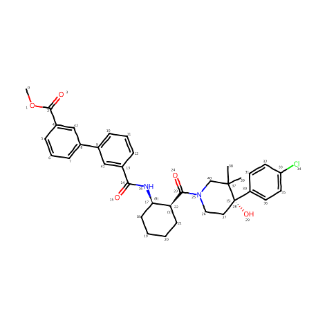 COC(=O)c1cccc(-c2cccc(C(=O)N[C@@H]3CCCC[C@@H]3C(=O)N3CC[C@](O)(c4ccc(Cl)cc4)C(C)(C)C3)c2)c1